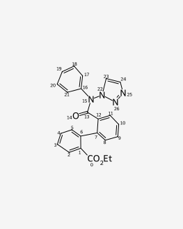 CCOC(=O)c1ccccc1-c1ccccc1C(=O)N(c1ccccc1)n1ccnn1